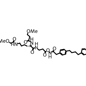 COCCC(=O)N[C@@H](CCCCNC(=O)COC)C(=O)NCCC(=O)ONC(=O)Cc1ccc(CCCCc2ccccc2)cc1